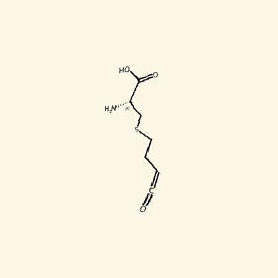 N[C@@H](CSCCC=C=O)C(=O)O